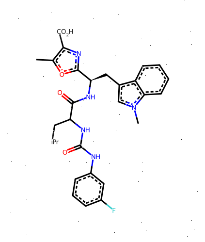 Cc1oc([C@@H](Cc2cn(C)c3ccccc23)NC(=O)C(CC(C)C)NC(=O)Nc2cccc(F)c2)nc1C(=O)O